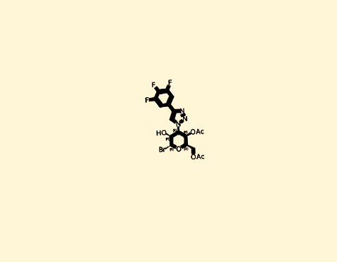 CC(=O)OC[C@H]1O[C@H](Br)[C@H](O)[C@@H](n2cc(-c3cc(F)c(F)c(F)c3)nn2)[C@H]1OC(C)=O